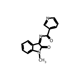 CN1C(=O)C(=NC(=O)c2cccnc2)c2ccccc21